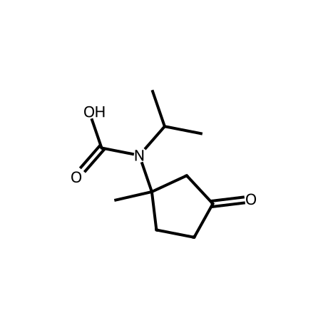 CC(C)N(C(=O)O)C1(C)CCC(=O)C1